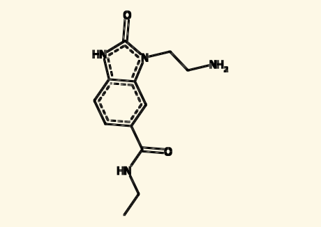 CCNC(=O)c1ccc2[nH]c(=O)n(CCN)c2c1